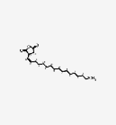 CCCCCCCCCCCCCCC/C=C\C1CC(=O)OC1=O